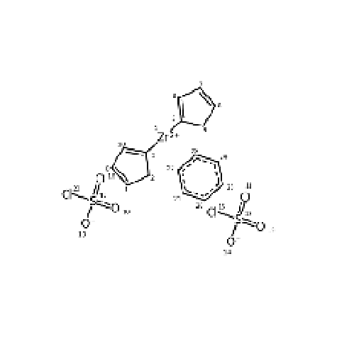 C1=CC[C]([Zr+2][C]2=CC=CC2)=C1.O=S(=O)([O-])Cl.O=S(=O)([O-])Cl.c1ccccc1